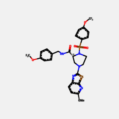 COc1ccc2nc(N3CCN(S(=O)(=O)c4ccc(OC(F)(F)F)cc4)[C@@H](C(=O)NCc4ccc(OC(F)(F)F)cc4)C3)sc2n1